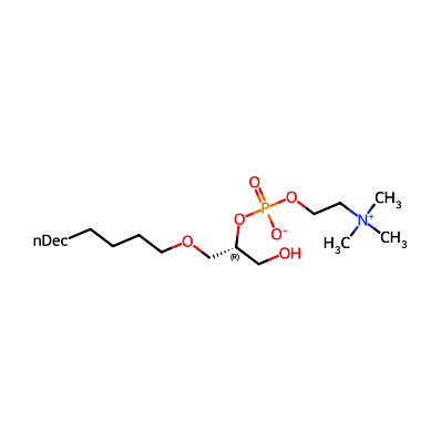 CCCCCCCCCCCCCCOC[C@@H](CO)OP(=O)([O-])OCC[N+](C)(C)C